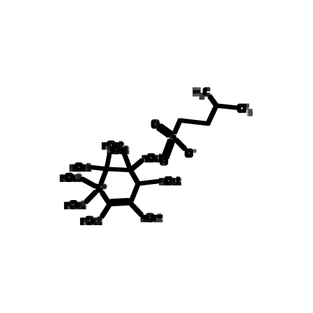 CC(CCS(=O)(=O)[O-])C(F)(F)F.CCCCCCCCC1=C(CCCCCCCC)[N+](CCCCCCCC)(CCCCCCCC)C(CCCCCCCC)(CCCCCCCC)C(CCCCCCCC)(CCCCCCCC)C1CCCCCCCC